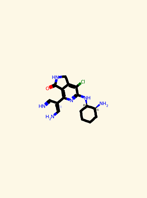 N=C/C(=C\N)c1nc(N[C@@H]2CCCC[C@@H]2N)c(Cl)c2c1C(=O)NC2